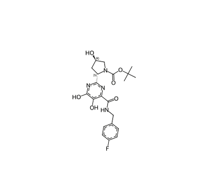 CC(C)(C)OC(=O)N1C[C@H](O)C[C@H]1c1nc(O)c(O)c(C(=O)NCc2ccc(F)cc2)n1